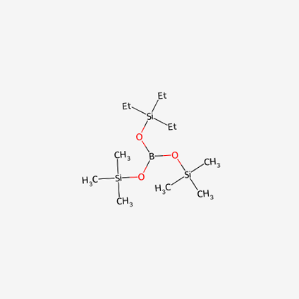 CC[Si](CC)(CC)OB(O[Si](C)(C)C)O[Si](C)(C)C